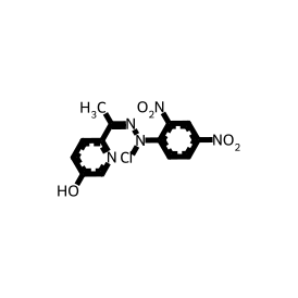 CC(=NN(Cl)c1ccc([N+](=O)[O-])cc1[N+](=O)[O-])c1ccc(O)cn1